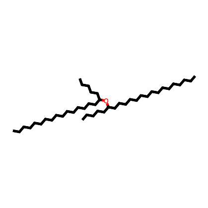 CCCCCCCCCCCCCCCCC(CCCCC)OC(CCCCC)CCCCCCCCCCCCCCCC